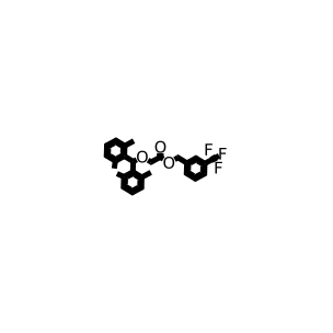 Cc1cccc(C)c1C(OCC(=O)OCc1cccc(C(F)(F)F)c1)c1c(C)cccc1C